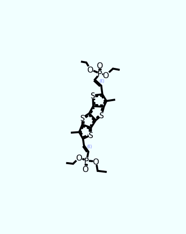 CCOP(=O)(/C=C/c1sc2c(sc3c4sc(/C=C/P(=O)(OCC)OCC)c(C)c4sc23)c1C)OCC